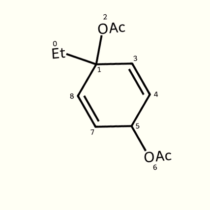 CCC1(OC(C)=O)C=CC(OC(C)=O)C=C1